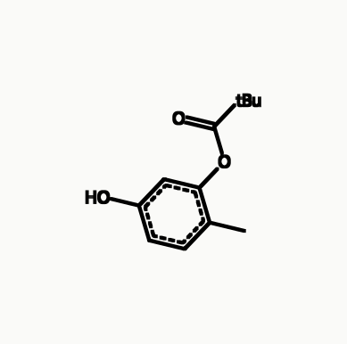 Cc1ccc(O)cc1OC(=O)C(C)(C)C